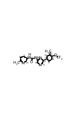 Cc1ccc(NC(=O)Nc2cncc(-c3ccc(OC(F)(F)F)c(C)c3)n2)cn1